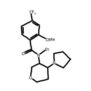 CCN(C(=O)c1ccc(C(F)(F)F)cc1OC)C1COCCC1N1CCCC1